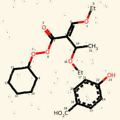 CCOC=C(C(=O)OOC1CCCCC1)C(C)OCC.O=C(O)c1ccc(O)cc1